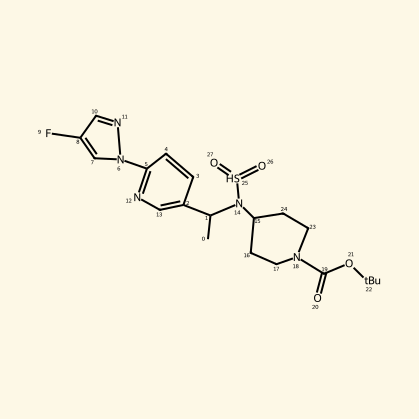 CC(c1ccc(-n2cc(F)cn2)nc1)N(C1CCN(C(=O)OC(C)(C)C)CC1)[SH](=O)=O